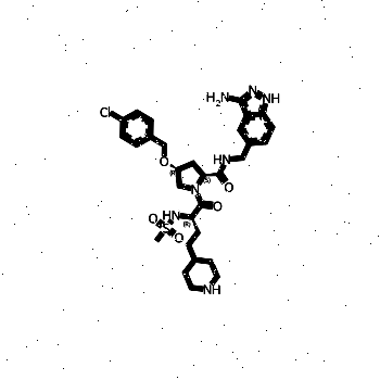 CS(=O)(=O)N[C@H](CCC1CCNCC1)C(=O)N1C[C@H](OCc2ccc(Cl)cc2)C[C@H]1C(=O)NCc1ccc2[nH]nc(N)c2c1